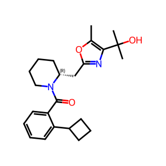 Cc1oc(C[C@H]2CCCCN2C(=O)c2ccccc2C2CCC2)nc1C(C)(C)O